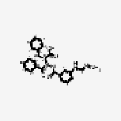 NN=CNc1cccc(C(=O)NN(C(=O)c2ccccc2)[C@@H](Cc2ccccc2)C(=O)O)c1